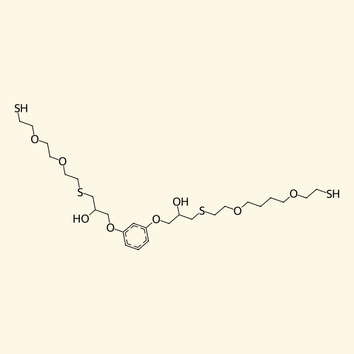 OC(COc1cccc(OCC(O)CSCCOCCOCCS)c1)CSCCOCCCCOCCS